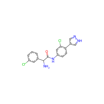 NC(C(=O)Nc1ccc(-c2cn[nH]c2)c(Cl)c1)c1cccc(Cl)c1